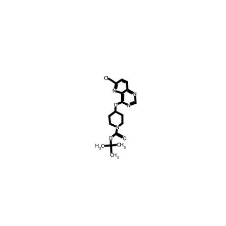 CC(C)(C)OC(=O)N1CCC(Oc2ncnc3ccc(Cl)nc23)CC1